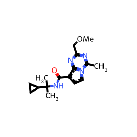 COCc1nc(C)n2ccc(C(=O)NC(C)(C)C3CC3)c2n1